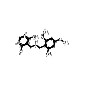 COc1cc(C)c(CNCc2c(N)ncnc2Cl)c(OC)c1